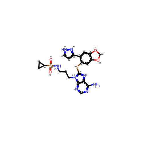 Nc1ncnc2c1nc(Sc1cc3c(cc1-c1cc[nH]n1)OCO3)n2CCCNS(=O)(=O)C1CC1